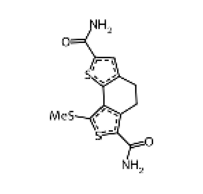 CSc1sc(C(N)=O)c2c1-c1sc(C(N)=O)cc1CC2